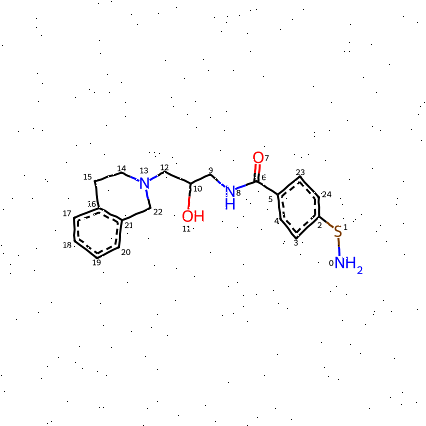 NSc1ccc(C(=O)NCC(O)CN2CCc3ccccc3C2)cc1